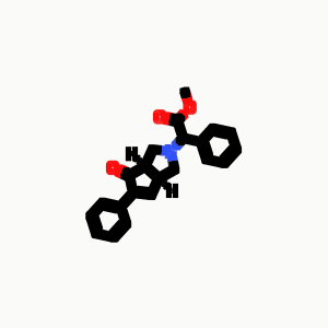 COC(=O)C(c1ccccc1)N1C[C@H]2C=C(c3ccccc3)C(=O)[C@H]2C1